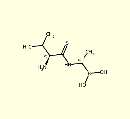 CC(C)[C@H](N)C(=S)N[C@H](C)B(O)O